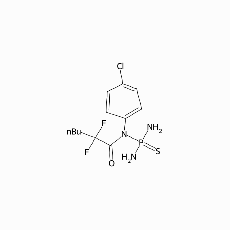 CCCCC(F)(F)C(=O)N(c1ccc(Cl)cc1)P(N)(N)=S